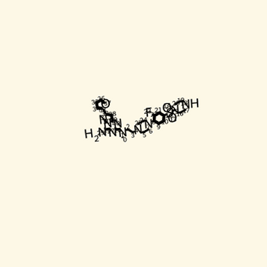 CN(CCN1CCN(c2ccc(S(=O)(=O)N3CCNCC3)cc2F)CC1)c1nc(N)n2nc(-c3ccco3)cc2n1